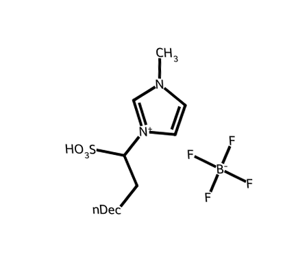 CCCCCCCCCCCC([n+]1ccn(C)c1)S(=O)(=O)O.F[B-](F)(F)F